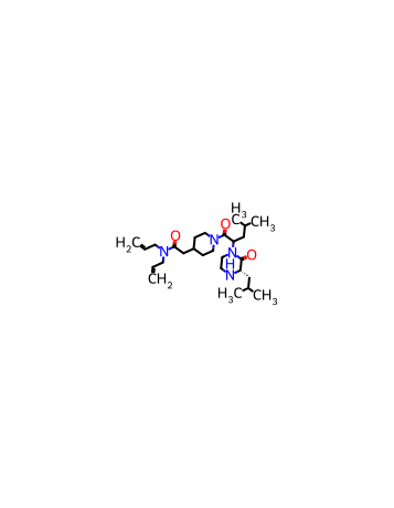 C=CCN(CC=C)C(=O)CC1CCN(C(=O)C(CC(C)C)N2CCN[C@@H](CC(C)C)C2=O)CC1